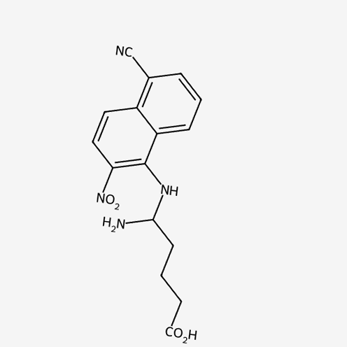 N#Cc1cccc2c(NC(N)CCCC(=O)O)c([N+](=O)[O-])ccc12